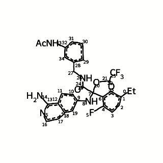 CCc1ccc(F)c(C(Nc2ccc3c(N)nccc3c2)(OC(=O)C(F)(F)F)C(=O)NCc2cccc(NC(C)=O)c2)c1